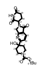 CC(C)(C)OC(=O)N1CCC(O)(c2ccc3c(n2)CN(C2CCC(=O)NC2=O)C3=O)CC1